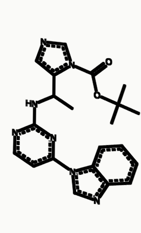 CC(Nc1nccc(-n2cnc3ccccc32)n1)c1cncn1C(=O)OC(C)(C)C